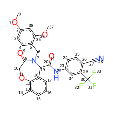 COc1ccc(CN2C(=O)COc3c(C)cccc3C2C(=O)Nc2ccc(C#N)c(C(F)(F)F)c2)c(OC)c1